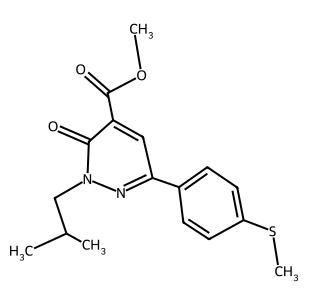 COC(=O)c1cc(-c2ccc(SC)cc2)nn(CC(C)C)c1=O